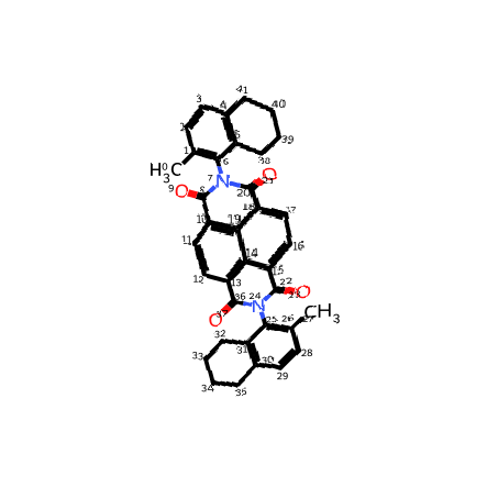 Cc1ccc2c(c1N1C(=O)c3ccc4c5c(ccc(c35)C1=O)C(=O)N(c1c(C)ccc3c1CCCC3)C4=O)CCCC2